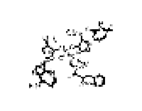 COC1C(OP(=O)(O[C@H]2O[C@@H](n3cnc4c(N)ncnc43)CC2O)SCOC(=O)C(Cc2ccccc2)NC(C)=O)[C@@H](CO)O[C@H]1n1ccc(=O)[nH]c1=O